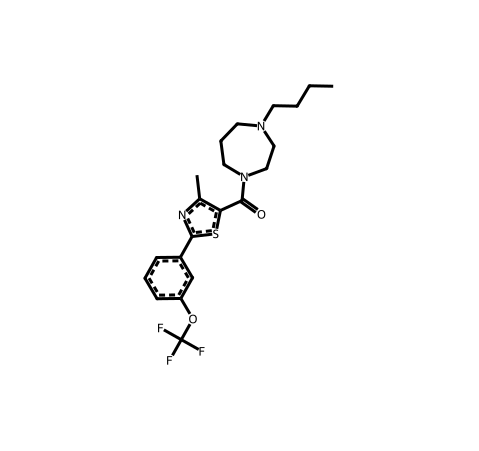 CCCCN1CCCN(C(=O)c2sc(-c3cccc(OC(F)(F)F)c3)nc2C)CC1